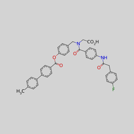 Cc1ccc(-c2ccc(C(=O)Oc3ccc(CN(CC(=O)O)C(=O)c4ccc(NC(=O)Cc5ccc(F)cc5)cc4)cc3)cc2)cc1